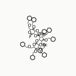 CC(=O)OC1C(OCc2ccccc2)[C@H](OCc2ccccc2)C(COCc2ccccc2)O[C@@H]1OC1C(COCc2ccccc2)[C@@H](OCc2ccccc2)C(OCc2ccccc2)C1[C@H](O)OC1C(OCc2ccccc2)[C@H](OCc2ccccc2)C(COCc2ccccc2)O[C@@H]1F